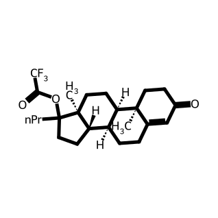 CCCC1(OC(=O)C(F)(F)F)CC[C@H]2[C@@H]3CCC4=CC(=O)CC[C@]4(C)[C@@H]3CC[C@@]21C